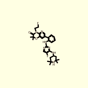 CC1(C)CC(Nc2nc(Nc3ccccc3-c3cnc4c(c3)OC(C)(C)C(=O)N4CCF)ncc2F)CC(C)(C)N1